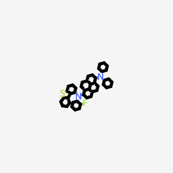 Fc1ccccc1N(c1ccc2ccc3c(N(c4ccccc4)c4ccccc4)ccc4ccc1c2c43)c1cccc2sc3ccccc3c12